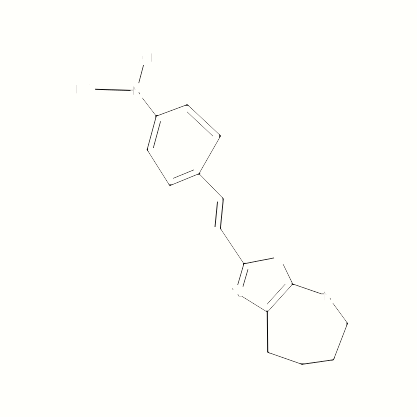 CN(C)c1ccc(C=Cc2nc3c(s2)NCCCC3)cc1